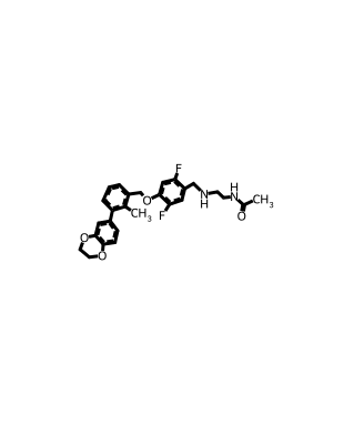 CC(=O)NCCNCc1cc(F)c(OCc2cccc(-c3ccc4c(c3)OCCO4)c2C)cc1F